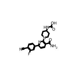 N#Cc1ccc(-c2ccc(C(N)=O)c(N3CCC(NC(=O)O)CC3)n2)cc1F